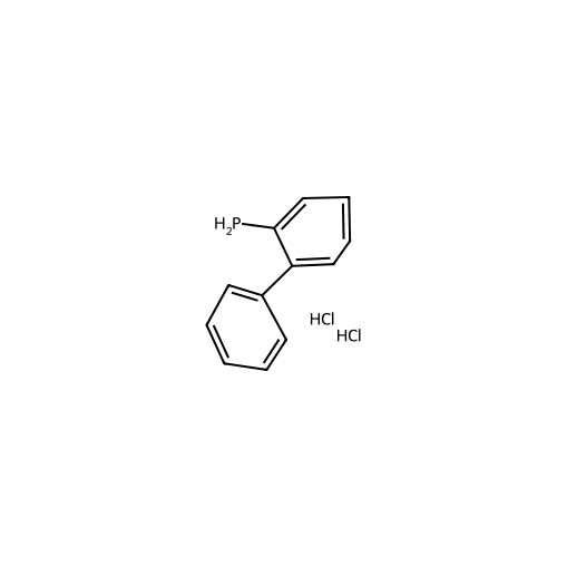 Cl.Cl.Pc1ccccc1-c1ccccc1